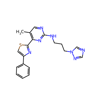 Cc1cnc(NCCCn2cncn2)nc1-c1nc(-c2ccccc2)cs1